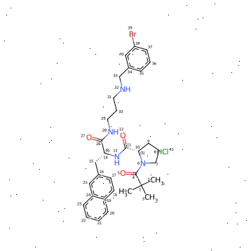 CC(C)(C)C(=O)N1CCC[C@H]1C(=O)N[C@H](Cc1ccc2ccccc2c1)C(=O)NCCCNCc1cccc(Br)c1.Cl